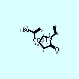 C=C(CCCC)C(=O)O.C=CN1CCCC1=O